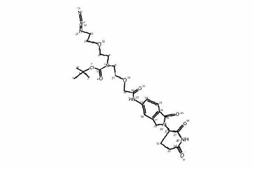 CC(C)(C)OC(=O)N(CCOCCN=[N+]=[N-])CCOCC(=O)Nc1ccc2c(c1)CN(C1CCC(=O)NC1=O)C2=O